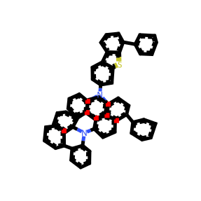 c1ccc(-c2ccc(N(c3ccc4c(c3)sc3c(-c5ccccc5)cccc34)c3ccccc3-c3ccccc3N(c3ccccc3-c3ccccc3)c3ccccc3-c3ccccc3)cc2)cc1